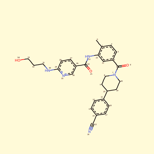 Cc1ccc(C(=O)N2CCC(c3ccc(C#N)cc3)CC2)cc1NC(=O)c1ccc(NCCCO)nc1